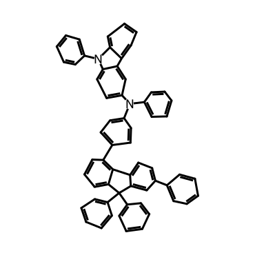 c1ccc(-c2ccc3c(c2)C(c2ccccc2)(c2ccccc2)c2cccc(-c4ccc(N(c5ccccc5)c5ccc6c(c5)c5ccccc5n6-c5ccccc5)cc4)c2-3)cc1